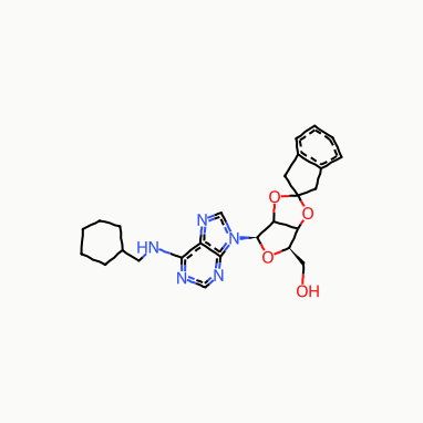 OC[C@H]1O[C@@H](n2cnc3c(NCC4CCCCC4)ncnc32)C2OC3(Cc4ccccc4C3)OC21